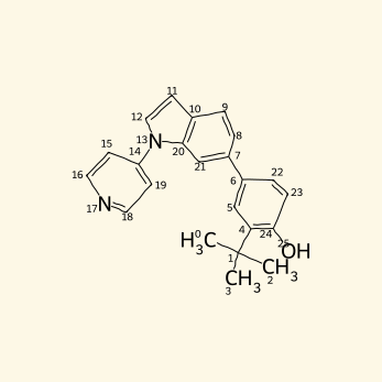 CC(C)(C)c1cc(-c2ccc3ccn(-c4ccncc4)c3c2)ccc1O